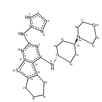 c1c[nH]c(Nc2nc(N[C@H]3CC[C@H](N4CCOCC4)CC3)c3c4c(sc3n2)CCCC4)n1